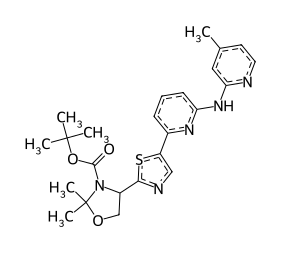 Cc1ccnc(Nc2cccc(-c3cnc(C4COC(C)(C)N4C(=O)OC(C)(C)C)s3)n2)c1